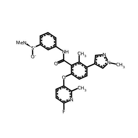 CN[S@+]([O-])c1cccc(NC(=O)c2c(Oc3ccc(F)nc3C)ccc(-c3cnn(C)c3)c2C)c1